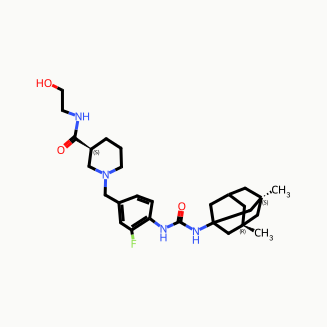 C[C@]12CC3CC(NC(=O)Nc4ccc(CN5CCC[C@H](C(=O)NCCO)C5)cc4F)(C1)C[C@@](C)(C3)C2